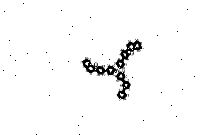 c1ccc(-c2cccc(-c3ccc(N(c4ccc(-c5ccc6c(c5)oc5c7ccccc7ccc65)cc4)c4ccc(-c5ccc6c(c5)oc5c7ccccc7ccc65)cc4)cc3)c2)cc1